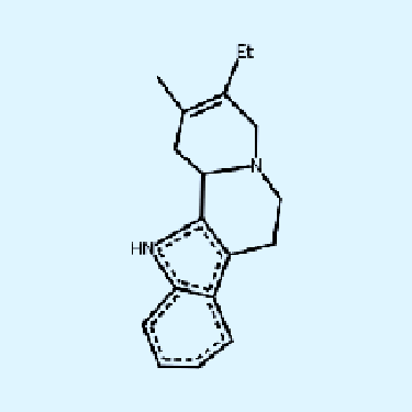 CCC1=C(C)CC2c3[nH]c4ccccc4c3CCN2C1